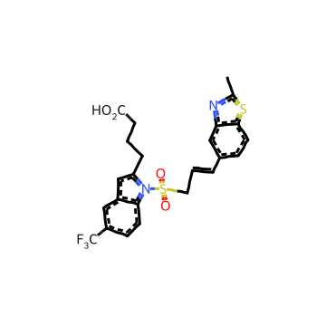 Cc1nc2cc(C=CCS(=O)(=O)n3c(CCCC(=O)O)cc4cc(C(F)(F)F)ccc43)ccc2s1